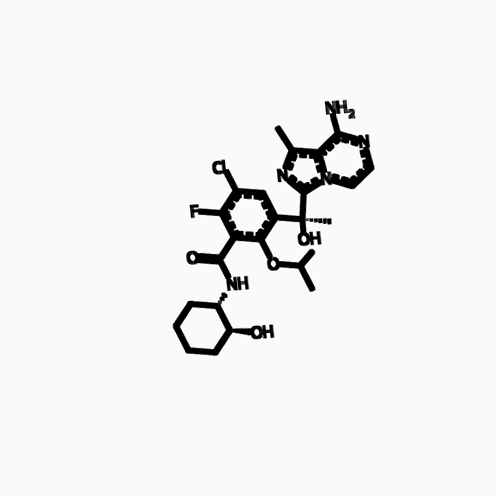 Cc1nc([C@@](C)(O)c2cc(Cl)c(F)c(C(=O)N[C@H]3CCCC[C@@H]3O)c2OC(C)C)n2ccnc(N)c12